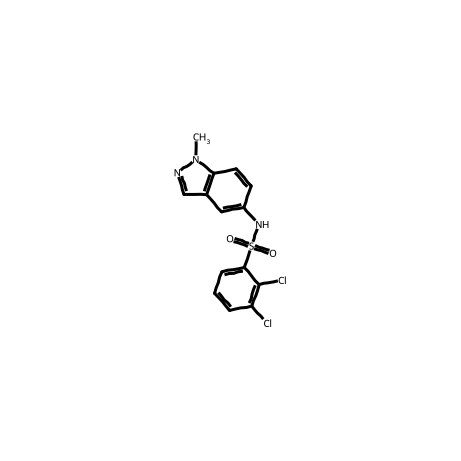 Cn1ncc2cc(NS(=O)(=O)c3cccc(Cl)c3Cl)ccc21